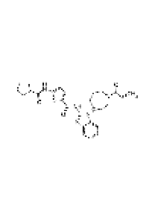 C=CC(=O)N1CCC[C@@H](n2c(NC(=O)c3ccc(NC(=O)C4CCCC4)s3)nc3ccccc32)CC1